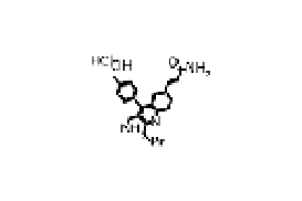 Cc1ccc(-c2c(CN)c(CC(C)C)nc3ccc(C=CC(N)=O)cc23)cc1.Cl.Cl